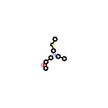 c1ccc(-c2ccc(N(c3ccc(-c4ccc5oc6ccccc6c5c4)cc3)c3ccc(-c4ccc(-c5ccccc5)s4)cc3)cc2)cc1